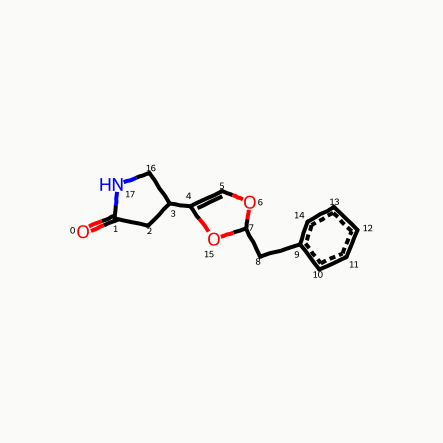 O=C1CC(C2=COC(Cc3ccccc3)O2)CN1